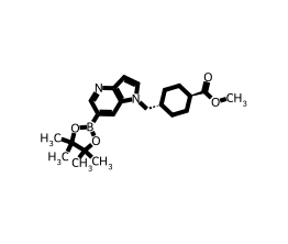 COC(=O)[C@H]1CC[C@H](Cn2ccc3ncc(B4OC(C)(C)C(C)(C)O4)cc32)CC1